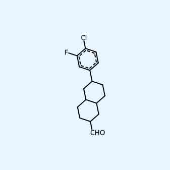 O=CC1CCC2CC(c3ccc(Cl)c(F)c3)CCC2C1